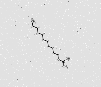 C=C(O)OCCCCCCCCCCC